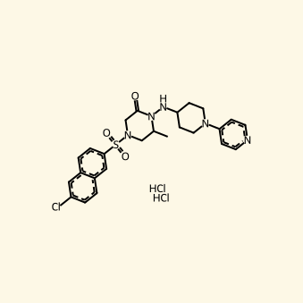 CC1CN(S(=O)(=O)c2ccc3cc(Cl)ccc3c2)CC(=O)N1NC1CCN(c2ccncc2)CC1.Cl.Cl